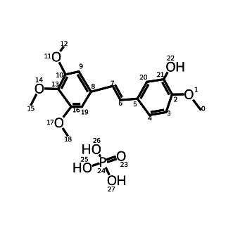 COc1ccc(C=Cc2cc(OC)c(OC)c(OC)c2)cc1O.O=P(O)(O)O